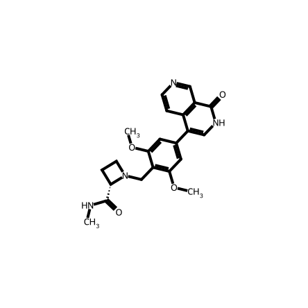 CNC(=O)[C@@H]1CCN1Cc1c(OC)cc(-c2c[nH]c(=O)c3cnccc23)cc1OC